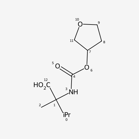 CC(C)C(C)(NC(=O)OC1CCOC1)C(=O)O